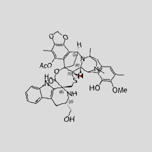 COc1c(C)cc2c(c1O)C1[C@@H]3[C@@H]4SC[C@]5(N[C@H](CO)Cc6c5[nH]c5ccccc65)C(=O)OC45C[C@@H](c4c6c(c(C)c(OC(C)=O)c45)OCO6)N3C(C)(C2)CN1C